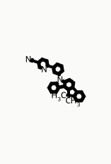 CC1(C)c2ccccc2-c2ccc3c(c21)c1ccccc1n3-c1cccc(-c2ccc(C#N)cn2)c1